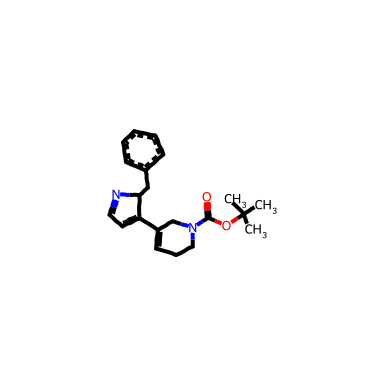 CC(C)(C)OC(=O)N1CCC=C(C2=CC=NC2Cc2ccccc2)C1